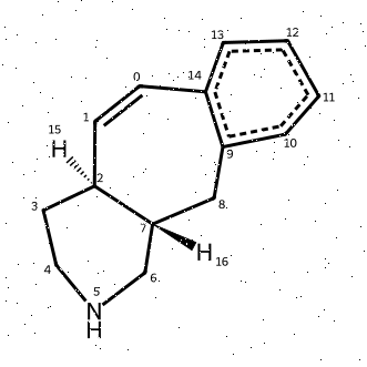 C1=C[C@@H]2CCNC[C@H]2Cc2ccccc21